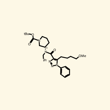 COCCCCc1c(C(=O)N(CC(C)C)[C@H]2CCCN(C(=O)OC(C)(C)C)C2)nnn1-c1ccccc1